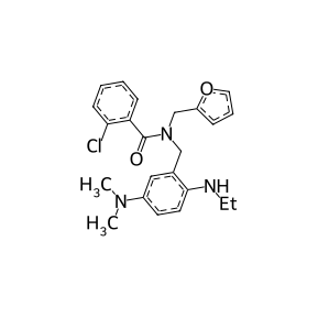 CCNc1ccc(N(C)C)cc1CN(Cc1ccco1)C(=O)c1ccccc1Cl